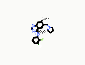 COc1cc2ncnc(Nc3cccc(Cl)c3F)c2cc1CN1CCC[C@@H]1C(=O)O